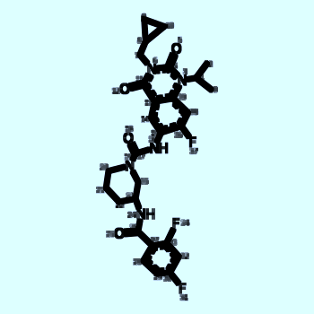 CC(C)n1c(=O)n(CC2CC2)c(=O)c2cc(NC(=O)N3CCCC(NC(=O)c4ccc(F)cc4F)C3)c(F)cc21